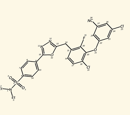 CCN(CC)S(=O)(=O)c1ccc(-c2nnc(Cc3ccc(Cl)c(Oc4cc(Cl)cc(C#N)c4)c3F)o2)cc1